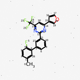 Cc1ccc(F)c(-c2cccc(-c3nc(-c4ccoc4)cc(C(F)(F)F)n3)c2)c1